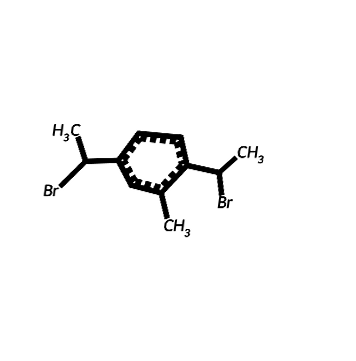 Cc1cc(C(C)Br)ccc1C(C)Br